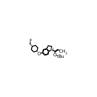 CC=C(OC(C)(C)C)N1CCc2cc(O[C@H]3CC[C@H](CF)CC3)ccc21